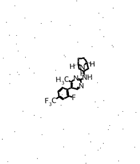 Cc1nc(NC2C[C@H]3CC[C@@H](C2)N3)ncc1-c1ccc(C(F)(F)F)cc1F